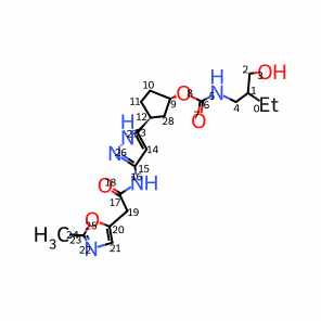 CCC(CO)CNC(=O)O[C@@H]1CC[C@H](c2cc(NC(=O)Cc3cnc(C)o3)n[nH]2)C1